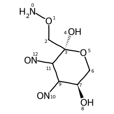 NOC[C@@]1(O)OC[C@@H](O)C(N=O)C1N=O